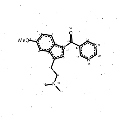 COc1ccc2c(c1)c(CCN(C)C)cn2C(=O)c1cncnc1